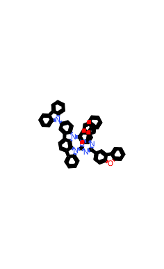 c1ccc(-c2cccc(-n3c4ccc(-n5c6ccccc6c6ccccc65)cc4c4ccc5c6ccccc6n(-c6nc(-c7ccccc7)nc(-c7ccc8oc9ccccc9c8c7)n6)c5c43)c2)cc1